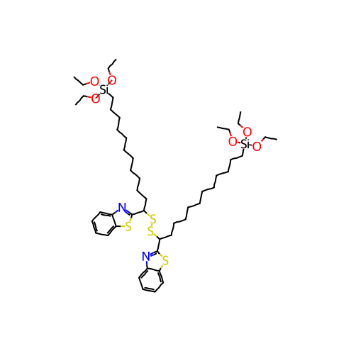 CCO[Si](CCCCCCCCCCCC(SSC(CCCCCCCCCCC[Si](OCC)(OCC)OCC)c1nc2ccccc2s1)c1nc2ccccc2s1)(OCC)OCC